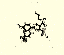 CCCN(C)C(=O)c1nc(-c2ccc(OC)c3nc(C(F)(F)F)ccc23)oc1[C@H](C)N